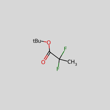 CC(C)(C)OC(=O)C(C)(F)F